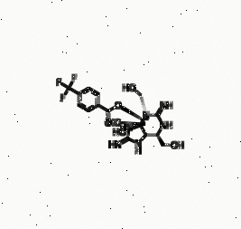 N=C1NC2[C@H](CO)NC(=N)N3[C@H](CO)[C@H](OC(=O)c4ccc(C(F)(F)F)cc4)C(O)(O)C23N1